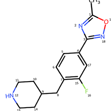 Cc1nc(-c2ccc(CC3CCNCC3)c(F)c2)no1